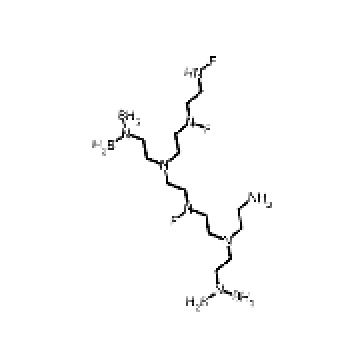 BN(B)CCN(CCN)CCN(F)CCN(CCN(B)B)CCN(F)CCNF